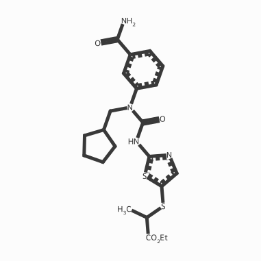 CCOC(=O)C(C)Sc1cnc(NC(=O)N(CC2CCCC2)c2cccc(C(N)=O)c2)s1